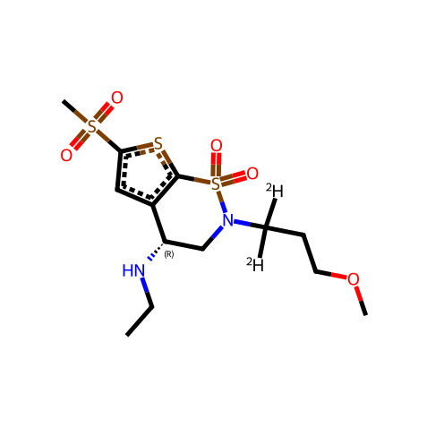 [2H]C([2H])(CCOC)N1C[C@H](NCC)c2cc(S(C)(=O)=O)sc2S1(=O)=O